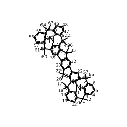 CC1(C)c2cccc3c2N2c4c1cccc4C(C)(C)c1c2c(cc2c1C(C)(C)c1cc4c(cc1-2)C(C)(C)c1c-4cc2c4c1C(C)(C)c1cccc5c1N4c1c(cccc1C2(C)C)C5(C)C)C3(C)C